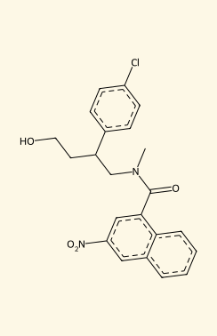 CN(CC(CCO)c1ccc(Cl)cc1)C(=O)c1cc([N+](=O)[O-])cc2ccccc12